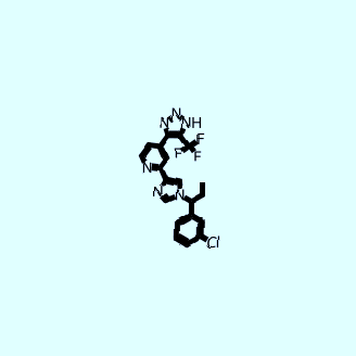 CCC(c1cccc(Cl)c1)n1cnc(-c2cc(-c3nn[nH]c3C(F)(F)F)ccn2)c1